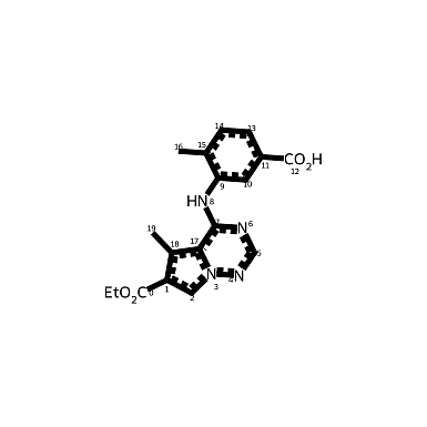 CCOC(=O)c1cn2ncnc(Nc3cc(C(=O)O)ccc3C)c2c1C